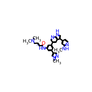 CNc1cc(-c2c[nH]c3ncc(-c4cc(NC(=O)/C=C/CN(C)C)cc(-c5cnn(C)c5)c4)cc23)ccn1